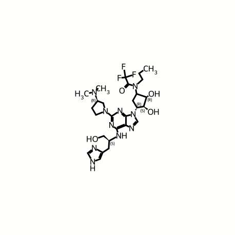 CCCN(C(=O)C(F)(F)F)C1C[C@@H](n2cnc3c(N[C@H](CO)Cc4c[nH]cn4)nc(N4CC[C@@H](N(C)C)C4)nc32)[C@H](O)[C@@H]1O